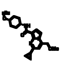 CCCCO[C@H]1CC[C@H](NC(=O)c2ccn3c(COC)cc(C4CC4)nc23)CC1